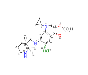 Cl.O=C(O)Oc1cn(C2CC2)c2cc(N3C[C@@H]4CCCN[C@@H]4C3)c(F)cc2c1=O